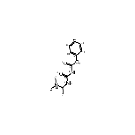 CC(NC(=O)NC(=O)Oc1ccccc1)N(C)C